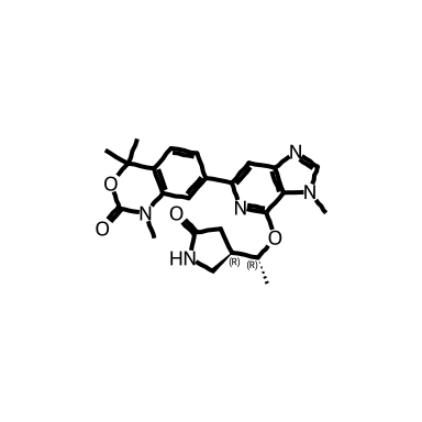 C[C@@H](Oc1nc(-c2ccc3c(c2)N(C)C(=O)OC3(C)C)cc2ncn(C)c12)[C@H]1CNC(=O)C1